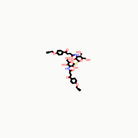 C#CCOc1ccc(C(=O)CCC(=O)NC2C(O)[C@H](S[C@@H]3OC(CO)[C@H](CO)C(NC(=O)CCC(=O)c4ccc(OCC#C)cc4)C3O)OC(CO)[C@@H]2O)cc1